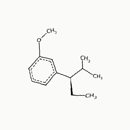 CC[C@@H](c1cccc(OC)c1)C(C)C